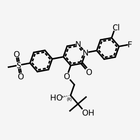 CC(C)(O)[C@H](O)COc1c(-c2ccc(S(C)(=O)=O)cc2)cnn(-c2ccc(F)c(Cl)c2)c1=O